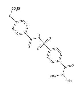 CCCCN(CCCC)C(=O)c1ccc(S(=O)(=O)NC(=O)c2ccc(OC(=O)OCC)nc2)cc1